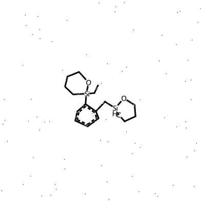 CC[Si]1(c2ccccc2C[SiH]2CCCCO2)CCCCO1